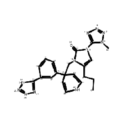 CCCc1cn(-c2nnnn2C)c(=O)n1CC1(c2cccc(-c3nnn[nH]3)c2)C=CNC=C1